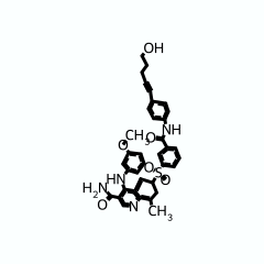 COc1cccc(Nc2c(C(N)=O)cnc3c2=CC(S(=O)(=O)c2cccc(C(=O)Nc4ccc(C#CCCCO)cc4)c2)CC=3C)c1